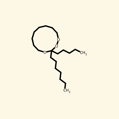 CCCCCCCC1(CCCCC)OCCCCCCCCOO1